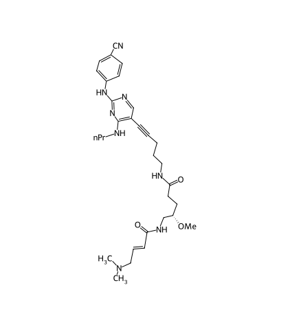 CCCNc1nc(Nc2ccc(C#N)cc2)ncc1C#CCCCNC(=O)CC[C@@H](CNC(=O)/C=C/CN(C)C)OC